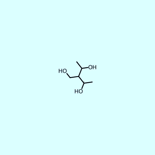 C[C](O)C(CO)C(C)O